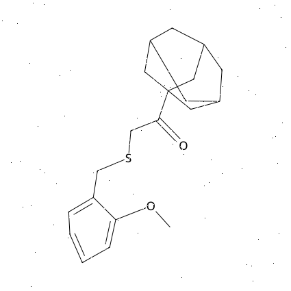 COc1ccccc1CSCC(=O)C12CC3CC(CC(C3)C1)C2